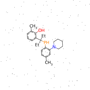 CCC(CC)(Pc1ccc(C)cc1N1CCCCC1)c1cccc(C)c1O